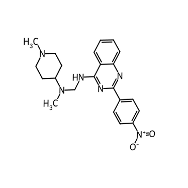 CN1CCC(N(C)CNc2nc(-c3ccc([N+](=O)[O-])cc3)nc3ccccc23)CC1